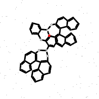 c1ccc(-p2oc3ccc4ccccc4c3c3c(ccc4ccccc43)o2)c(Oc2ccccc2-p2oc3ccc4ccccc4c3c3c(ccc4ccccc43)o2)c1